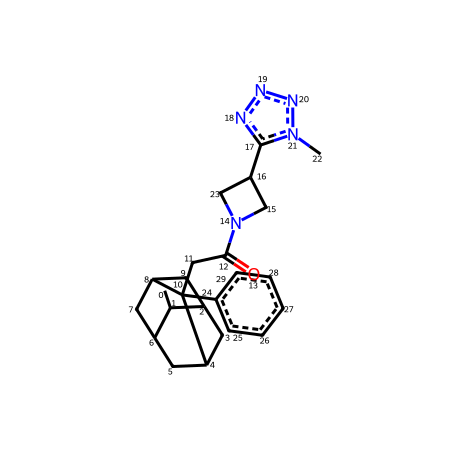 CC1C2CC3CC1CC(C2)C3(CC(=O)N1CC(c2nnnn2C)C1)c1ccccc1